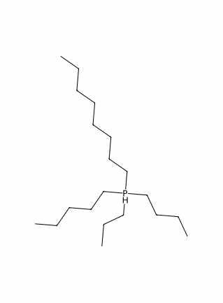 CCCCCCCC[PH](CCC)(CCCC)CCCCC